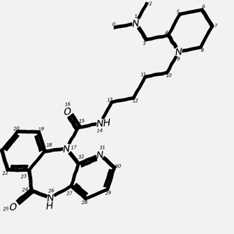 CN(C)CC1CCCCN1CCCCNC(=O)N1c2ccccc2C(=O)Nc2cccnc21